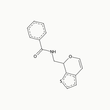 O=C(NCC1OC=Cc2ccsc21)c1ccccc1